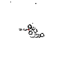 CNCC(CC1CCCCC1)NC(=O)N1CCCC(C(O)(CCCCOC)c2ccccc2Oc2ccccc2)C1